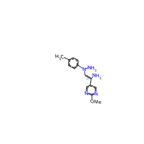 COc1ncc(/C(N)=C/N(N)c2ccc(C)cc2)cn1